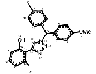 COc1ccc(C(c2ccc(C)cc2)n2nnc(-c3c(O)cccc3Cl)n2)cc1